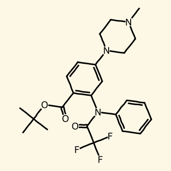 CN1CCN(c2ccc(C(=O)OC(C)(C)C)c(N(C(=O)C(F)(F)F)c3ccccc3)c2)CC1